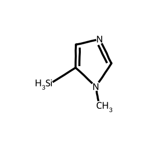 Cn1cncc1[SiH3]